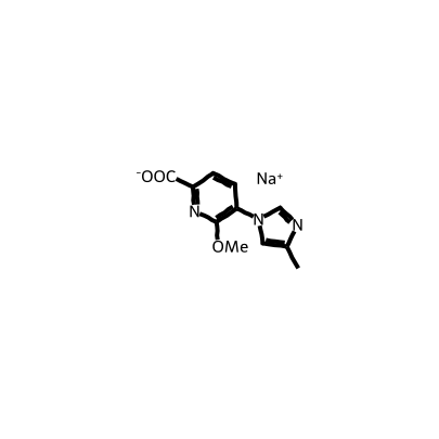 COc1nc(C(=O)[O-])ccc1-n1cnc(C)c1.[Na+]